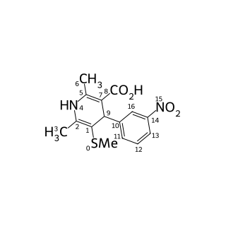 CSC1=C(C)NC(C)=C(C(=O)O)C1c1cccc([N+](=O)[O-])c1